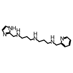 c1ccc(CNCCCNCCCNCc2ncc[nH]2)nc1